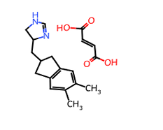 Cc1cc2c(cc1C)CC(CC1CNC=N1)C2.O=C(O)C=CC(=O)O